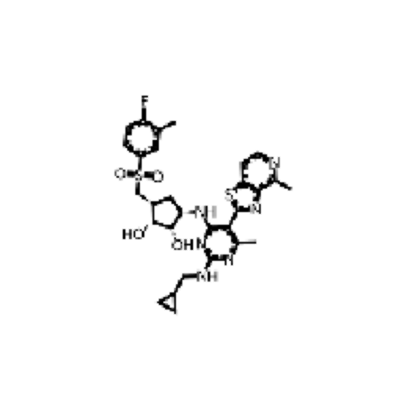 Cc1cc(S(=O)(=O)C[C@H]2C[C@@H](Nc3nc(NCC4CC4)nc(C)c3-c3nc4c(C)nccc4s3)[C@H](O)[C@@H]2O)ccc1F